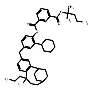 CCCC(C)(C)OC(=O)c1cccc(C(=O)Oc2ccc(Cc3ccc4c(c3)C3CCC(CC3)CCC4(C)CCC)cc2C2CCCCC2)c1